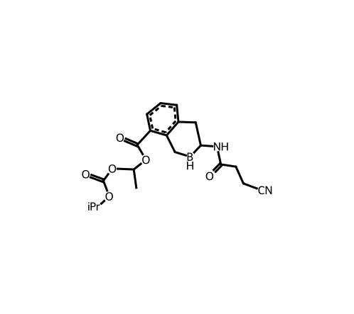 CC(C)OC(=O)OC(C)OC(=O)c1cccc2c1CBC(NC(=O)CCC#N)C2